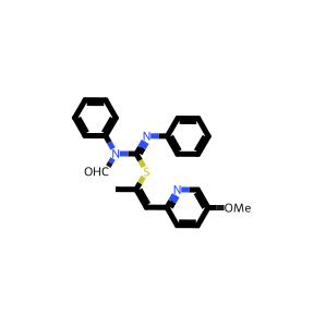 COc1ccc(/C=C(/C)S/C(=N\c2ccccc2)N(C=O)c2ccccc2)nc1